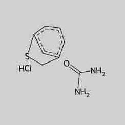 Cl.NC(N)=O.c1cc2cc(c1)SC2